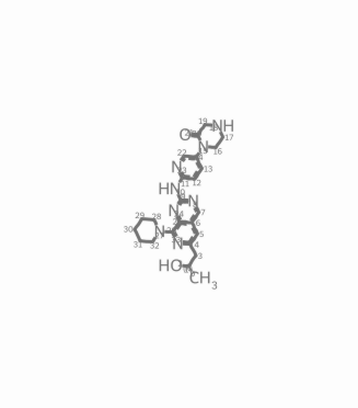 C[C@@H](O)Cc1cc2cnc(Nc3ccc(N4CCNCC4=O)cn3)nc2c(N2CCCCC2)n1